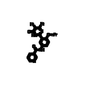 CCCOc1ccc(NC(=O)c2cccnc2)cc1-c1nc(CC)c(CC)c(=O)[nH]1